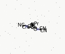 CCCn1nc2c(-c3ccc(/C=C/C=C(C#N)C#N)o3)ccc(-c3ccc(/C=C/C=C(C#N)C#N)o3)c2n1